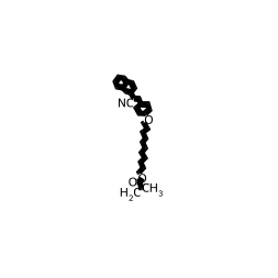 C=C(C)C(=O)OCCCCCCCCCCCOc1ccc(C=C(C#N)c2ccc3ccccc3c2)cc1